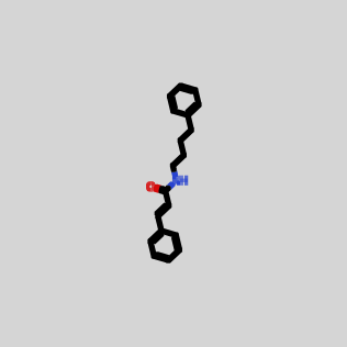 O=C(C=Cc1ccccc1)NCCCCc1ccccc1